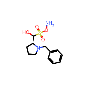 NOS(=O)(=O)C(O)[C@@H]1CCCN1Cc1ccccc1